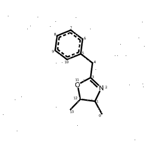 CC1N=C(Cc2ccccc2)OC1C